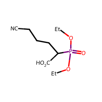 CCOP(=O)(OCC)C(CCCC#N)C(=O)O